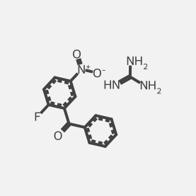 N=C(N)N.O=C(c1ccccc1)c1cc([N+](=O)[O-])ccc1F